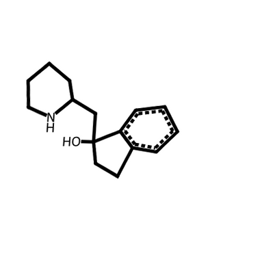 OC1(CC2CCCCN2)CCc2ccccc21